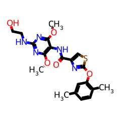 COc1nc(NCCO)nc(OC)c1NC(=O)c1csc(Oc2cc(C)ccc2C)n1